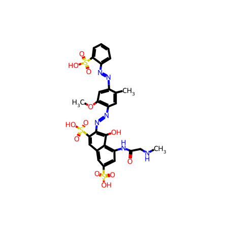 CNCC(=O)Nc1cc(S(=O)(=O)O)cc2cc(S(=O)(=O)O)c(N=Nc3cc(C)c(N=Nc4ccccc4S(=O)(=O)O)cc3OC)c(O)c12